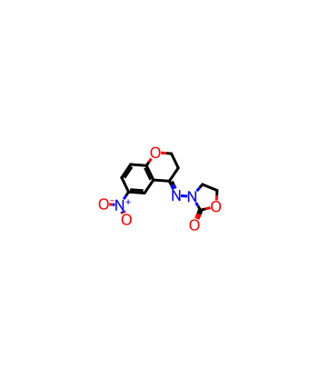 O=C1OCCN1N=C1CCOc2ccc([N+](=O)[O-])cc21